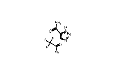 NC(=O)c1cnn[nH]1.O=C(O)C(F)(F)F